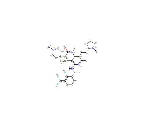 COC1(c2cc3c(N[C@H](C)c4cccc(C(F)F)c4F)nc(C)c(CC[C@@H]4CCCN4C)c3n(C)c2=O)CCN(C(C)=O)CC1